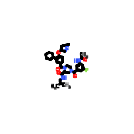 CC(=O)Nc1cc(F)cc(C(=O)N2CCN(C(=O)c3ccc(O[C@H]4CC5CN5C4)c(C4CCCCC4)c3)C(C(=O)NCC(C)C)C2)c1